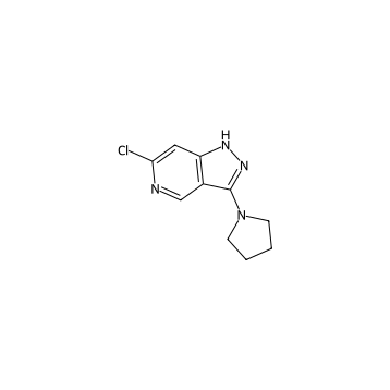 Clc1cc2[nH]nc(N3CCCC3)c2cn1